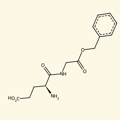 N[C@@H](CCC(=O)O)C(=O)NCC(=O)OCc1ccccc1